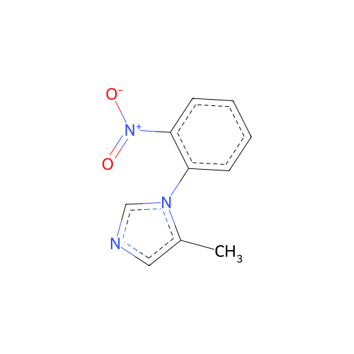 Cc1cncn1-c1ccccc1[N+](=O)[O-]